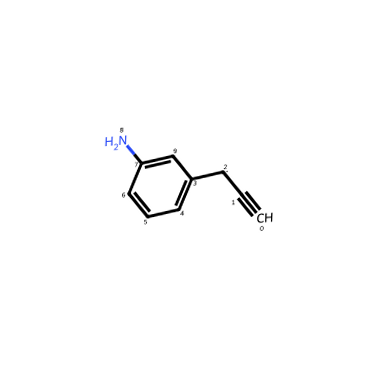 C#C[CH]c1cccc(N)c1